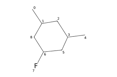 CC1CC(C)CC(F)C1